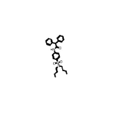 CCCCN(CCCC)S(=O)(=O)c1ccc(NC(=O)C(c2ccccc2)c2ccccc2)cc1